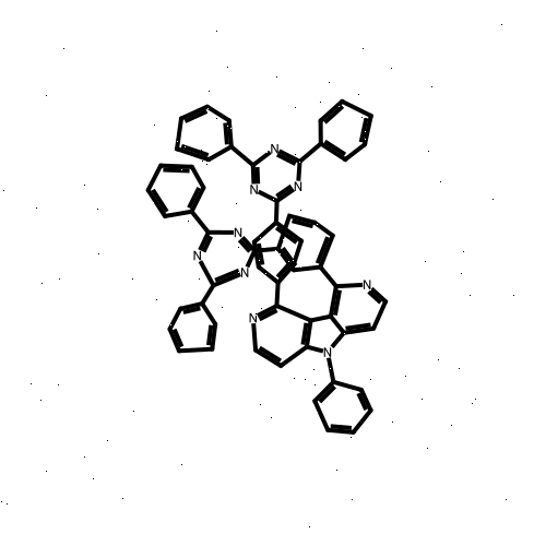 c1ccc(-c2nc(-c3ccccc3)nc(-c3ccc(-c4nccc5c4c4c(-c6cccc(-c7nc(-c8ccccc8)nc(-c8ccccc8)n7)c6)nccc4n5-c4ccccc4)cc3)n2)cc1